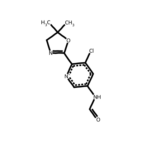 CC1(C)CN=C(c2ncc(NC=O)cc2Cl)O1